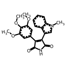 COc1cc(C2=C(c3cn(C)c4ccccc34)C(=O)NC2=O)cc(OC)c1OC